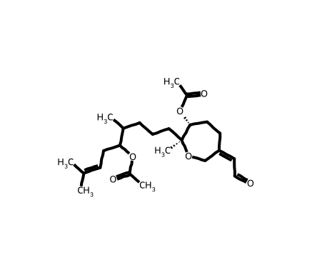 CC(=O)OC(CC=C(C)C)C(C)CCC[C@]1(C)OCC(=CC=O)CC[C@H]1OC(C)=O